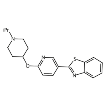 CC(C)N1CCC(Oc2ccc(-c3nc4ccccc4s3)cn2)CC1